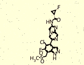 CS(=O)(=O)Cc1c(F)c(Cl)c(-c2cn3cc(NC(=O)[C@@H]4C[C@@H]4F)nc3cn2)c2cn[nH]c12